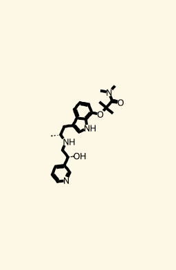 C[C@H](Cc1c[nH]c2c(OC(C)(C)C(=O)N(C)C)cccc12)NC[C@H](O)c1cccnc1